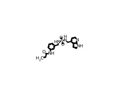 C=CC(=O)Nc1cccc(CNS(=O)(=O)NCc2ccnc3[nH]ccc23)c1